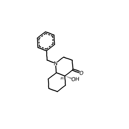 O=C1CCN(Cc2ccccc2)C2CCCC[C@]12O